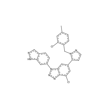 Cc1ccc(Cn2nccc2-c2cc(Cl)c3nnn(-c4ccc5cn[nH]c5c4)c3c2)c(Cl)c1